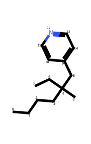 CCCCC(C)(CC)Cc1ccncc1